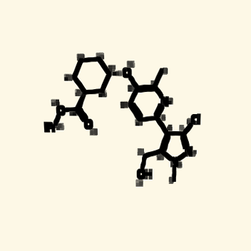 Cc1nc(-c2c(Cl)nn(C)c2CO)ccc1O[C@H]1CCC[C@H](C(=O)OC(C)C)C1